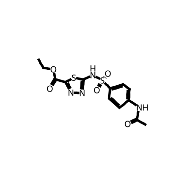 CCOC(=O)c1nnc(NS(=O)(=O)c2ccc(NC(C)=O)cc2)s1